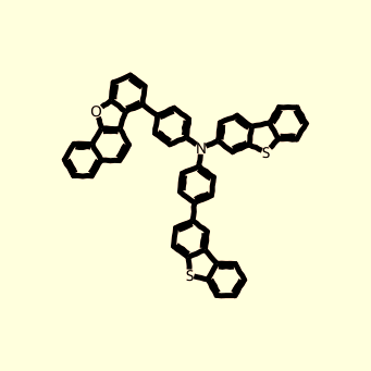 c1ccc2c(c1)ccc1c2oc2cccc(-c3ccc(N(c4ccc(-c5ccc6sc7ccccc7c6c5)cc4)c4ccc5c(c4)sc4ccccc45)cc3)c21